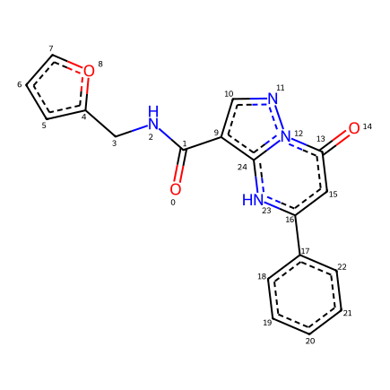 O=C(NCc1ccco1)c1cnn2c(=O)cc(-c3ccccc3)[nH]c12